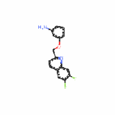 Nc1cccc(OCc2ccc3cc(F)c(F)cc3n2)c1